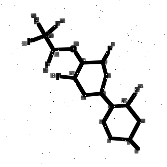 CC1CCC(C2CC(F)C(OC(F)C(F)(F)F)C(F)C2)C(F)C1